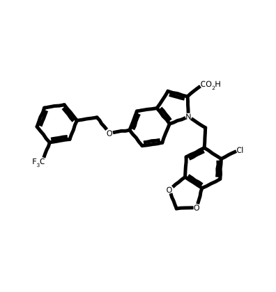 O=C(O)c1cc2cc(OCc3cccc(C(F)(F)F)c3)ccc2n1Cc1cc2c(cc1Cl)OCO2